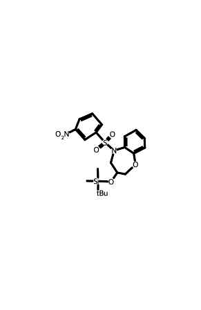 CC(C)(C)[Si](C)(C)OC1COc2ccccc2N(S(=O)(=O)c2cccc([N+](=O)[O-])c2)C1